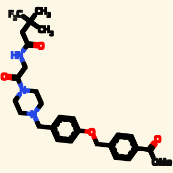 COC(=O)c1ccc(COc2ccc(CN3CCN(C(=O)CNC(=O)CC(C)(C)C(F)(F)F)CC3)cc2)cc1